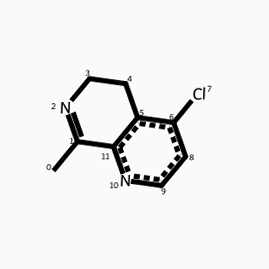 CC1=NCCc2c(Cl)ccnc21